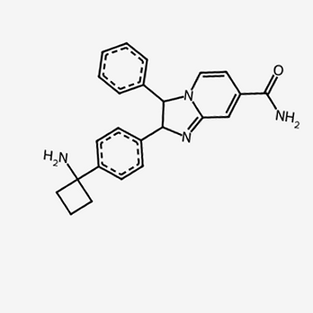 NC(=O)C1=CC2=NC(c3ccc(C4(N)CCC4)cc3)C(c3ccccc3)N2C=C1